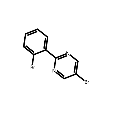 Brc1cnc(-c2ccccc2Br)nc1